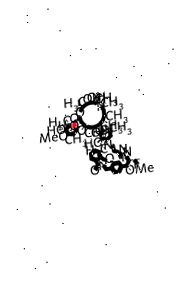 CO[C@H](c1ccc(CN2C(=O)c3ccccc3C2=O)cc1)[C@@H](CF)n1cc(CCN(C)[C@H]2C[C@@H](C)O[C@@H](O[C@@H]3[C@@H](C)[C@H](O[C@H]4C[C@@](C)(OC)[C@@H](O)[C@H](C)O4)[C@@H](C)C(=O)O[C@H](I)[C@@](C)(O)[C@H](O)[C@@H](C)N(C)C[C@H](C)C[C@@]3(C)O)[C@@H]2O)nn1